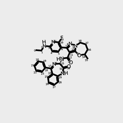 CCNc1ccc(-c2nn3c(c2C(=O)N[C@H]2N=C(c4ccccc4)c4ccccc4NC2=O)OC(C)CCC3)c(F)n1